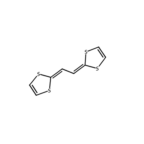 C1=CSC(=CC=C2SC=CS2)S1